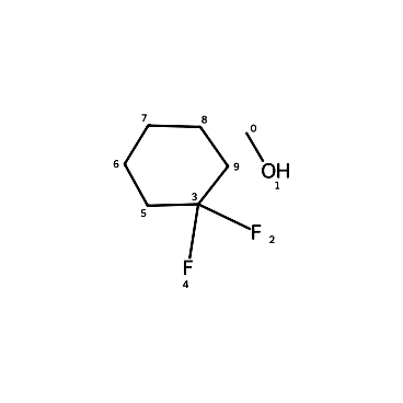 CO.FC1(F)CCCCC1